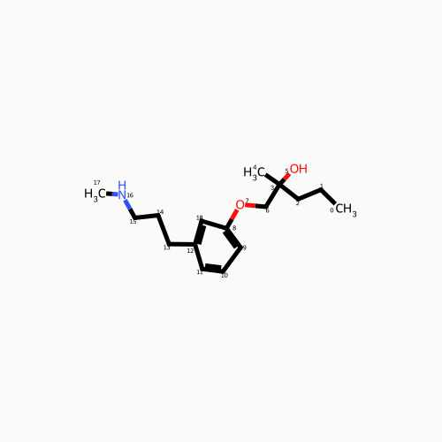 CCCC(C)(O)COc1cccc(CCCNC)c1